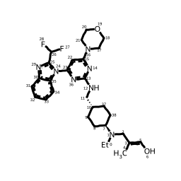 CCN(C/C(C)=C/O)[C@H]1CC[C@H](CNc2nc(N3CCOCC3)cc(-n3c(C(F)F)nc4ccccc43)n2)CC1